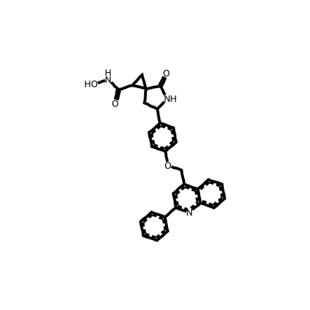 O=C(NO)C1CC12CC(c1ccc(OCc3cc(-c4ccccc4)nc4ccccc34)cc1)NC2=O